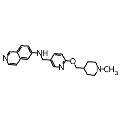 CN1CCC(COc2ccc(CNc3ccc4cnccc4c3)cn2)CC1